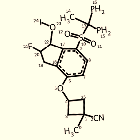 CC1(C#N)CC(Oc2ccc(S(=O)(=O)C(C)(P)P)c3c2CC(F)C3OI)C1